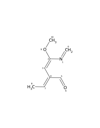 C=N/C(=C\C(C=O)=C/C)OC